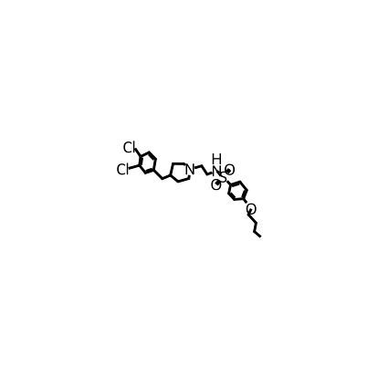 CCCCOc1ccc(S(=O)(=O)NCCN2CCC(Cc3ccc(Cl)c(Cl)c3)CC2)cc1